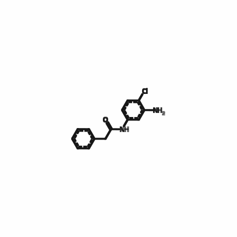 Nc1cc(NC(=O)Cc2ccccc2)ccc1Cl